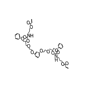 C=CC(=O)OCCCNC(=O)OC(COCCOc1cccc(OCCOCC(COc2ccccc2)OC(=O)NCCCOC(=O)C=C)c1)COc1ccccc1